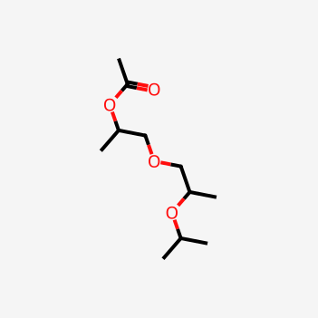 CC(=O)OC(C)COCC(C)OC(C)C